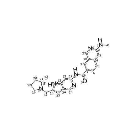 CNc1cc2ccc(C(=O)Nc3cc4[nH]c(CN5CCC[C@@H]5C)cc4cn3)cc2cn1